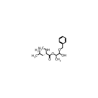 CN[C@@H](CC(C)C)C(=O)O[C@H](C)C(O)OCc1ccccc1